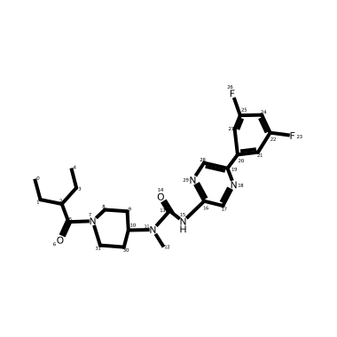 CCC(CC)C(=O)N1CCC(N(C)C(=O)Nc2cnc(-c3cc(F)cc(F)c3)cn2)CC1